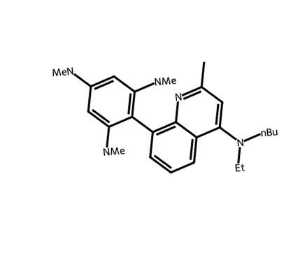 CCCCN(CC)c1cc(C)nc2c(-c3c(NC)cc(NC)cc3NC)cccc12